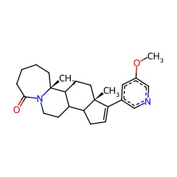 COc1cncc(C2=CCC3C4CCN5C(=O)CCCC[C@]5(C)C4CC[C@]23C)c1